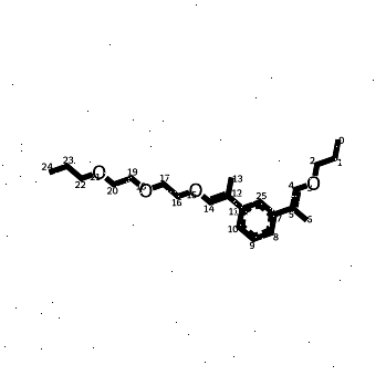 CCCOC=C(C)c1cccc(C(C)=COCCOCCOCCC)c1